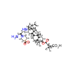 C=C(C)[C@@H]1CC[C@]2(NCC[C@H](CN)N3CCS(=O)(=O)CC3)CC[C@]3(C)[C@H](CC[C@@H]4[C@@]5(C)CC[C@H](OC(=O)[C@H]6[C@@H](C(=O)O)C6(C)C)C(C)(C)[C@@H]5CC[C@]43C)[C@@H]12